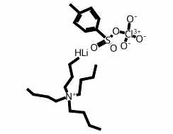 CCCC[N+](CCCC)(CCCC)CCCC.Cc1ccc(S(=O)(=O)O[Cl+3]([O-])([O-])[O-])cc1.[LiH]